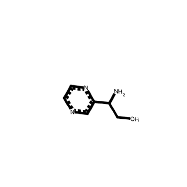 NC(CO)c1cnccn1